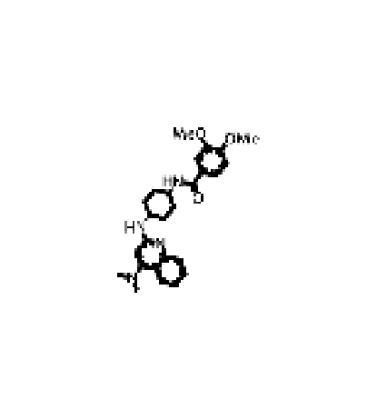 COc1ccc(C(=O)N[C@H]2CC[C@@H](Nc3cc(N(C)C)c4ccccc4n3)CC2)cc1OC